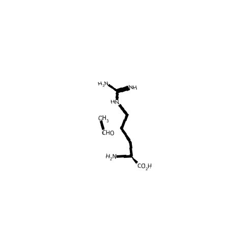 CC=O.N=C(N)NCCC[C@H](N)C(=O)O